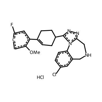 COc1ccc(F)cc1C1=CCC(c2nnc3n2-c2ccc(Cl)cc2CNC3)CC1.Cl